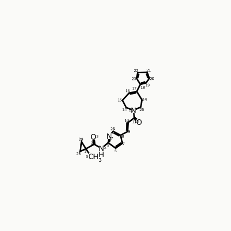 CC1(C(=O)Nc2ccc(/C=C/C(=O)N3CCC=C(c4ccccc4)CC3)cn2)CC1